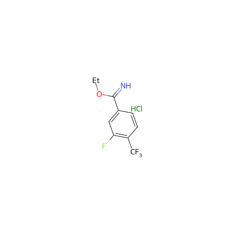 CCOC(=N)c1ccc(C(F)(F)F)c(F)c1.Cl